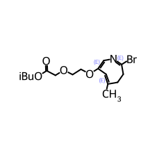 C\C1=C/C(OCCOCC(=O)OCC(C)C)=C\N=C(\Br)CC1